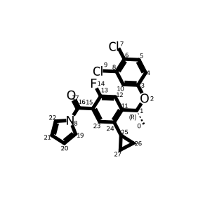 C[C@@H](Oc1ccc(Cl)c(Cl)c1)c1cc(F)c(C(=O)n2cccc2)cc1C1CC1